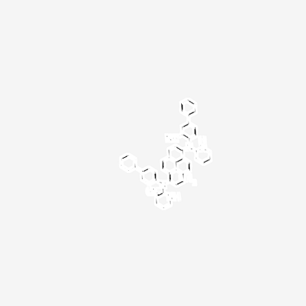 CC12C=CC3=C4C(C=CC(=C(N(C5=CCCCN5)C5=CC=C(C6CC=CCC6)CC5C#N)C=C1)C42)CC=C3N(c1ccc(-c2ccccc2)cc1C#N)C1CC=CCN1